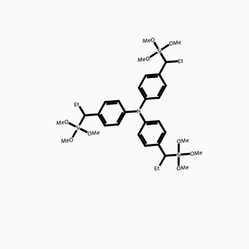 CCC(c1ccc(N(c2ccc(C(CC)[Si](OC)(OC)OC)cc2)c2ccc(C(CC)[Si](OC)(OC)OC)cc2)cc1)[Si](OC)(OC)OC